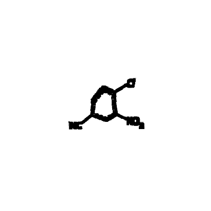 N#[13C]c1ccc(Cl)c([N+](=O)[O-])c1